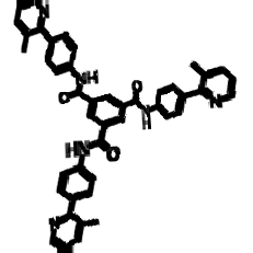 Cc1cccnc1-c1ccc(NC(=O)c2cc(C(=O)Nc3ccc(-c4ncccc4C)cc3)cc(C(=O)Nc3ccc(-c4ncccc4C)cc3)c2)cc1